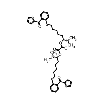 CN(C)C(CCCCCSc1ccccc1C(=O)c1cccs1)OC(=O)C(=O)OC(CCCCCSc1ccccc1C(=O)c1cccs1)N(C)C